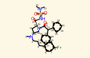 CN(CCCc1ccc(F)cc1)[C@H]1C[C@@H](C(=O)NS(=O)(=O)N(C)C)N(C(=O)C(c2ccccc2)c2ccccc2)C1